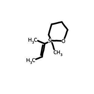 CC=C(C)[Si]1(C)CCCCO1